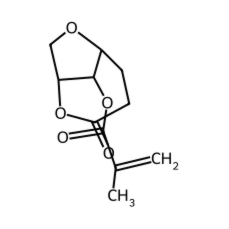 C=C(C)C(=O)OC1C2CCC(=O)OC1CO2